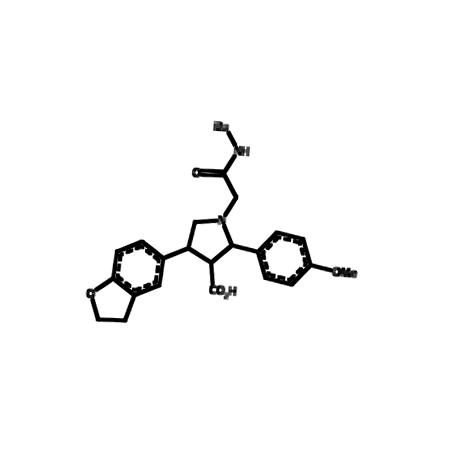 CCC(C)NC(=O)CN1CC(c2ccc3c(c2)CCO3)C(C(=O)O)C1c1ccc(OC)cc1